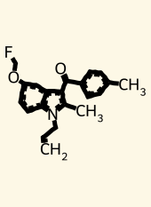 C=CCn1c(C)c(C(=O)c2ccc(C)cc2)c2cc(OCF)ccc21